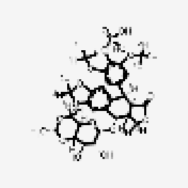 [2H]C([2H])([2H])Oc1cc([C@]2([2H])c3cc4c(cc3[C@@H](O[C@@H]3O[C@H]5[C@@H](O[C@H](C)OC5([2H])[2H])[C@H](O)[C@H]3O)[C@@H]3[C@@H]2C(=O)OC3([2H])[2H])OC([2H])([2H])O4)cc(OC([2H])([2H])[2H])c1OP(=O)(O)O